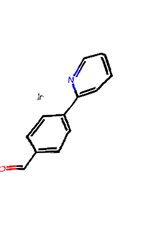 O=Cc1ccc(-c2ccccn2)cc1.[Ir]